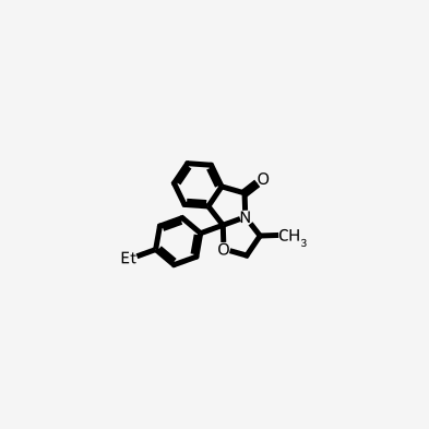 CCc1ccc(C23OCC(C)N2C(=O)c2ccccc23)cc1